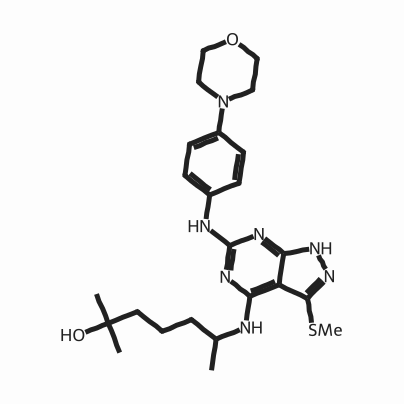 CSc1n[nH]c2nc(Nc3ccc(N4CCOCC4)cc3)nc(NC(C)CCCC(C)(C)O)c12